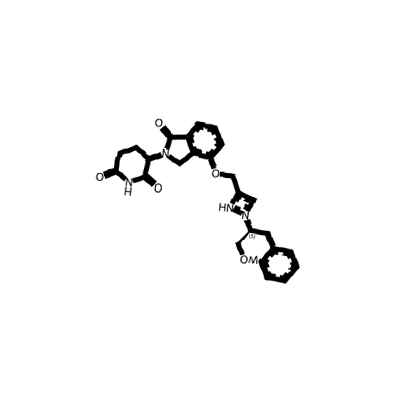 COC[C@H](Cc1ccccc1)n1cc(COc2cccc3c2CN(C2CCC(=O)NC2=O)C3=O)[nH]1